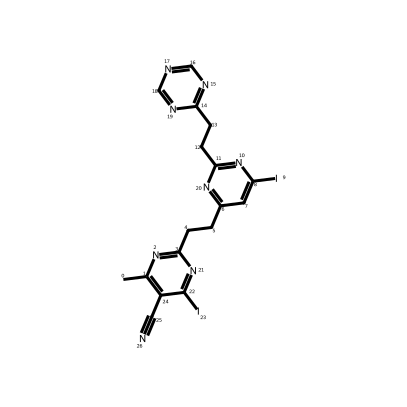 Cc1nc(CCc2cc(I)nc(CCc3ncncn3)n2)nc(I)c1C#N